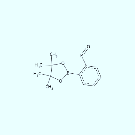 CC1(C)OB(c2ccccc2P=O)OC1(C)C